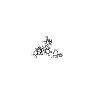 Cc1c(-c2cn(S(=O)(=O)c3ccccc3)c3ncc(C4CCC(=O)CC4)cc23)cnn1C